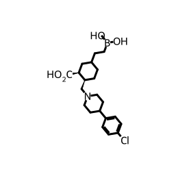 O=C(O)[C@H]1CC(CCB(O)O)CC[C@H]1CN1CCC(c2ccc(Cl)cc2)CC1